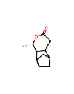 C[C@@H]1OC(=O)CC2C3CCC(C3)C21